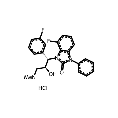 CNC[C@H](O)[C@H](c1cccc(F)c1)n1c(=O)n(-c2ccccc2)c2cccc(F)c21.Cl